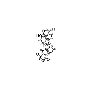 O=C(O)c1ccc(OS(Oc2ccc(C(=O)O)c(C(=O)O)c2)(c2ccccc2)c2ccccc2)cc1C(=O)O